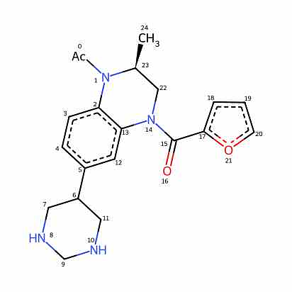 CC(=O)N1c2ccc(C3CNCNC3)cc2N(C(=O)c2ccco2)C[C@@H]1C